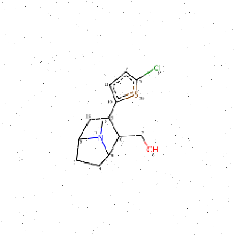 CN1C2CCC1C(CO)C(c1ccc(Cl)s1)C2